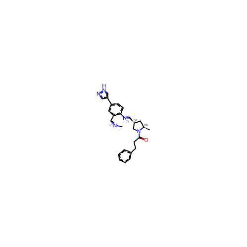 C/N=C\c1cc(-c2cn[nH]c2)ccc1/N=C/[C@H]1C[C@@H](C)N(C(=O)CCc2ccccc2)C1